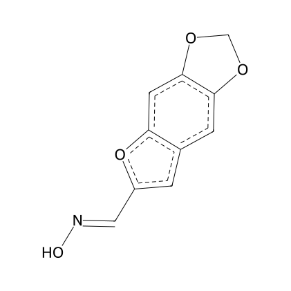 ON=Cc1cc2cc3c(cc2o1)OCO3